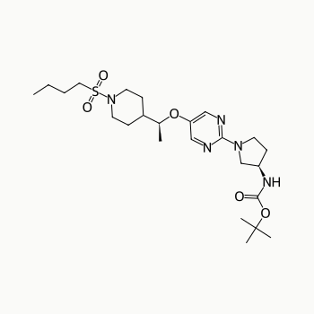 CCCCS(=O)(=O)N1CCC([C@H](C)Oc2cnc(N3CC[C@@H](NC(=O)OC(C)(C)C)C3)nc2)CC1